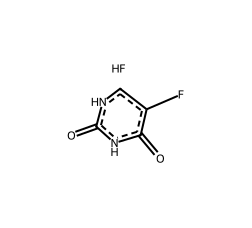 F.O=c1[nH]cc(F)c(=O)[nH]1